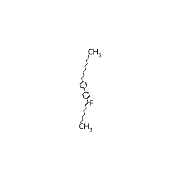 CCCCCCCC=C(F)c1ccc(-c2ccc(CCCCCCCCCC)cc2)cc1